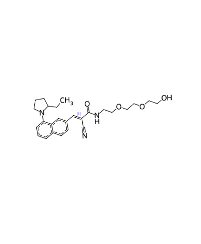 CCC1CCCN1c1cccc2ccc(/C=C(\C#N)C(=O)NCCOCCOCCO)cc12